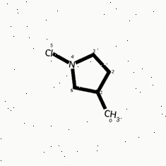 CC1CCN(Cl)C1